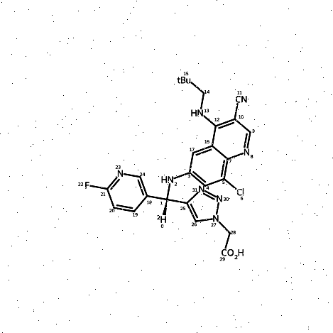 [2H][C@](Nc1cc(Cl)c2ncc(C#N)c(NCC(C)(C)C)c2c1)(c1ccc(F)nc1)c1cn(CC(=O)O)nn1